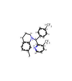 Cc1ccc2c(c1)N(C(c1ccc(C(F)(F)F)cc1)c1ncccc1C(F)(F)F)CCC2